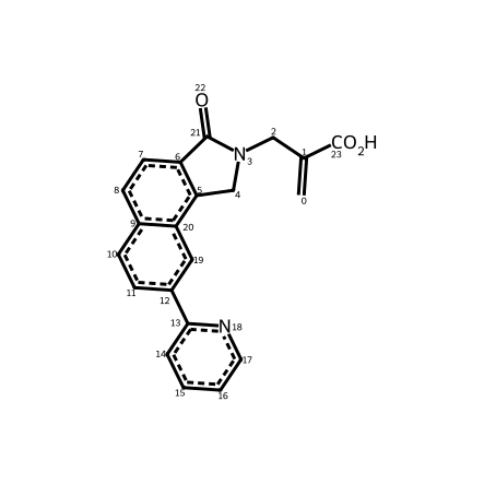 C=C(CN1Cc2c(ccc3ccc(-c4ccccn4)cc23)C1=O)C(=O)O